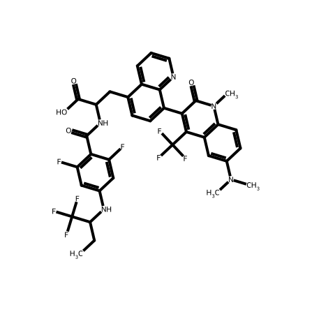 CCC(Nc1cc(F)c(C(=O)NC(Cc2ccc(-c3c(C(F)(F)F)c4cc(N(C)C)ccc4n(C)c3=O)c3ncccc23)C(=O)O)c(F)c1)C(F)(F)F